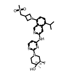 CC(C)c1ccc(N2CC(CS(C)(=O)=O)C2)c2cnc(Nc3ccnc(N4CC[C@](C)(O)[C@H](F)C4)n3)cc12